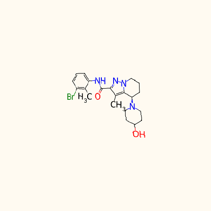 Cc1c(Br)cccc1NC(=O)c1nn2c(c1C)[C@H](N1CCC(O)CC1)CCC2